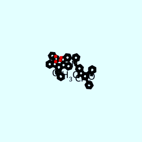 CC1(C)c2cc(N(c3ccccc3)c3ccc4c(c3)C3(c5ccccc5-c5ccccc53)c3c5c(c6oc7ccccc7c6c3-4)-c3ccccc3C53c4ccccc4-c4ccccc43)ccc2-c2c1cc(-c1ccccc1)c1oc3ccccc3c21